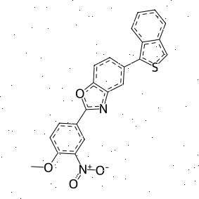 COc1ccc(-c2nc3cc(-c4scc5ccccc45)ccc3o2)cc1[N+](=O)[O-]